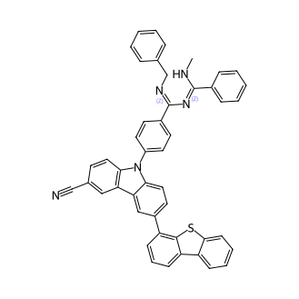 CN/C(=N\C(=N/Cc1ccccc1)c1ccc(-n2c3ccc(C#N)cc3c3cc(-c4cccc5c4sc4ccccc45)ccc32)cc1)c1ccccc1